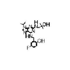 CC(C)n1cnc2c(NCc3cc(F)ccc3O)nc(NCC(C)(C)O)nc21